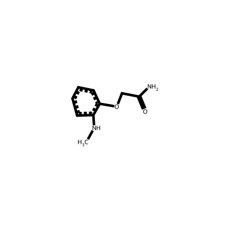 CNc1ccccc1OCC(N)=O